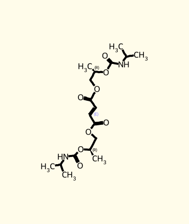 CC(C)NC(=O)O[C@H](C)COC(=O)/C=C/C(=O)OC[C@@H](C)OC(=O)NC(C)C